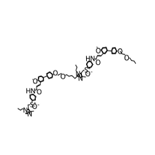 CCCCOCCOc1ccc(-c2ccc(OC)c(/C=C/C(=O)Nc3ccc([S@+]([O-])Cc4c(C)nc(CCCCOCCOc5ccc(-c6ccc(OC)c(/C=C/C(=O)Nc7ccc([S@@+]([O-])Cc8c(C)ncn8CCC)cc7)c6)cc5)n4CCC)cc3)c2)cc1